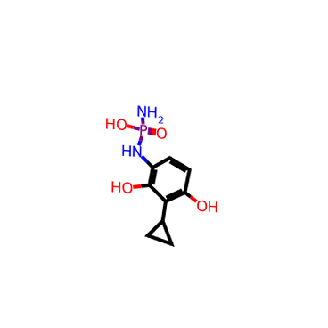 NP(=O)(O)Nc1ccc(O)c(C2CC2)c1O